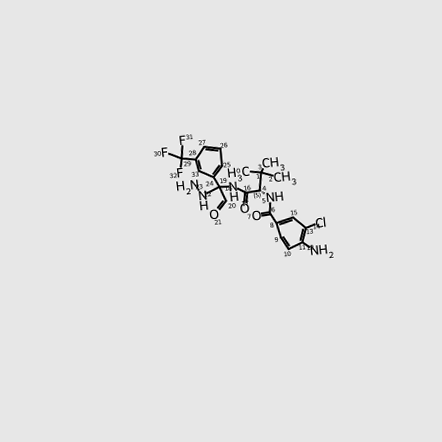 CC(C)(C)[C@H](NC(=O)c1ccc(N)c(Cl)c1)C(=O)NC(C=O)(NN)c1cccc(C(F)(F)F)c1